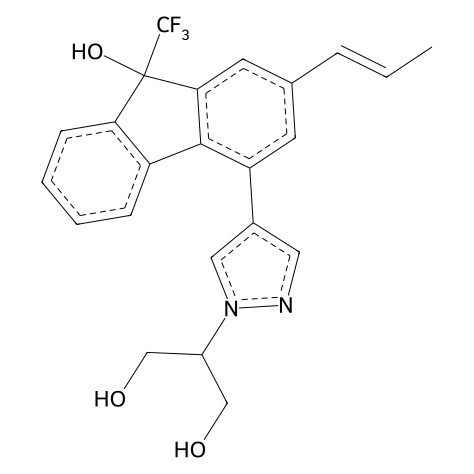 C/C=C/c1cc(-c2cnn(C(CO)CO)c2)c2c(c1)C(O)(C(F)(F)F)c1ccccc1-2